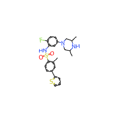 Cc1cc(-c2cccs2)ccc1S(=O)(=O)Nc1cc(N2CC(C)NC(C)C2)ccc1F